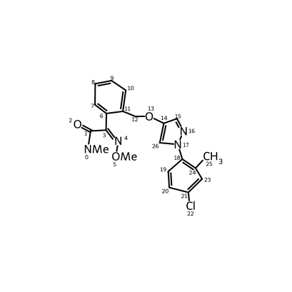 CNC(=O)C(=NOC)c1ccccc1COc1cnn(-c2ccc(Cl)cc2C)c1